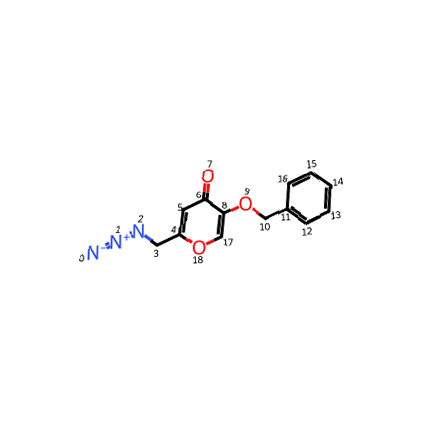 [N-]=[N+]=NCc1cc(=O)c(OCc2ccccc2)co1